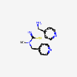 N#CN(Cc1ccncc1)C(=N)S.NCc1ccncc1